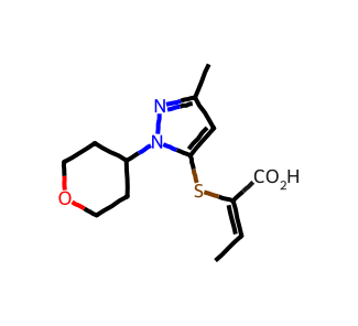 C/C=C(\Sc1cc(C)nn1C1CCOCC1)C(=O)O